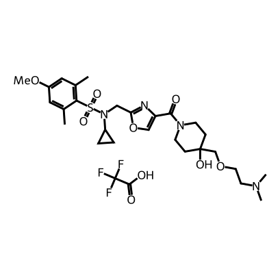 COc1cc(C)c(S(=O)(=O)N(Cc2nc(C(=O)N3CCC(O)(COCCN(C)C)CC3)co2)C2CC2)c(C)c1.O=C(O)C(F)(F)F